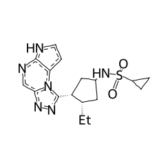 CC[C@H]1C[C@@H](NS(=O)(=O)C2CC2)C[C@H]1c1nnc2cnc3[nH]ccc3n12